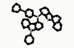 c1ccc(-c2ccc(N(c3cccc4c3sc3c5ccccc5ccc43)c3cccc4c3c3ccccc3n4-c3ccccc3)cc2)cc1